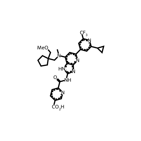 COCC1(CN(C)c2cc(-c3cc(C4CC4)nc(C(F)(F)F)c3)nc3nc(NC(=O)c4ccc(C(=O)O)cn4)[nH]c23)CCCC1